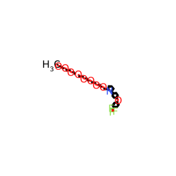 COCCOCCOCCOCCOCCOCCOCCOCc1cccc(-c2ccc(Oc3ccc(C(F)(F)F)cc3)cc2)n1